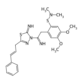 COc1cc(CC(=N)n2nc(C/C=C/c3ccccc3)sc2=N)c(SN(C)C)cc1OC